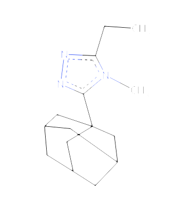 CCc1nnc(C23CC4CC(CC(C4)C2)C3)n1C